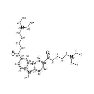 CCN(CC)CCCCC(=O)c1ccc2c(c1)c1cc(C(=O)CCCCN(CC)CC)ccc1n2C